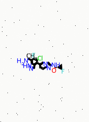 CC(N)c1c(F)c(Cl)c(-c2ccc3nc(NC(=O)[C@@H]4C[C@@H]4F)cn3c2)c2cn[nH]c12